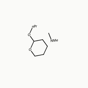 CCCOC1CCCCO1.CNC